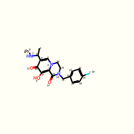 CC(C)NC(C)c1cn2c(c(O)c1=O)C(=O)N(Cc1ccc(F)cc1)CC2